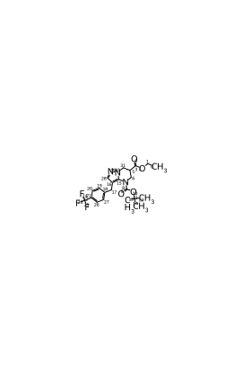 CCOC(=O)C1CN(C(=O)OC(C)(C)C)c2c(Cc3ccc(C(F)(F)F)cc3)cnn2C1